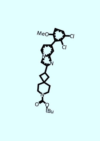 COc1ccc(Cl)c(Cl)c1-c1ccn2cc(C3CC4(CCN(C(=O)OC(C)(C)C)CC4)C3)nc2c1